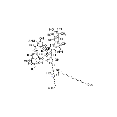 CCCCCCCCCCCCC/C=C/[C@@H](O)[C@H](CO[C@@H]1OC(CO)[C@@H](O[C@@H]2OC(CO)[C@H](O[C@@H]3OC(CO)[C@H](O)[C@H](O)C3N(C(C)=O)[C@H]3OC(C)[C@@H](O)C(O)[C@@H]3O)[C@H](O[C@]3(C(=O)O)CC(O)[C@@H](NC(C)=O)C([C@H](O)[C@@H](CO)O[C@]4(C(=O)O)CC(O)[C@@H](NC(C)=O)C([C@H](O)[C@H](O)CO)O4)O3)C2O)[C@H](O)C1O)NC(=O)CCCCCCCCCCCCCCCCCCCCC